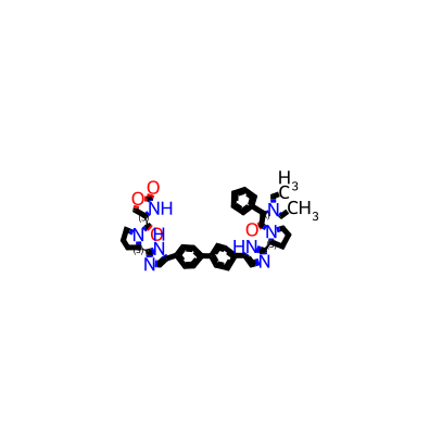 CCN(CC)[C@@H](C(=O)N1CCC[C@H]1c1ncc(-c2ccc(-c3ccc(-c4cnc([C@@H]5CCCN5C(=O)[C@@H]5COC(=O)N5)[nH]4)cc3)cc2)[nH]1)c1ccccc1